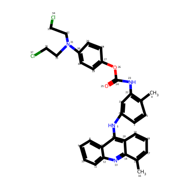 Cc1ccc(Nc2c3ccccc3nc3c(C)cccc23)cc1NC(=O)Oc1ccc(N(CCCl)CCCl)cc1